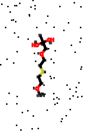 CCCOCCSCCOCC(C)(O)O